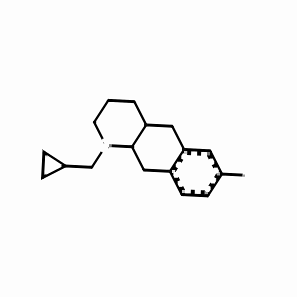 Clc1ccc2c(c1)CC1CCCN(CC3CC3)C1C2